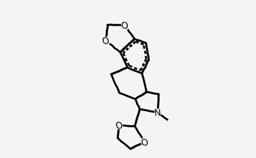 CN1CC2c3ccc4c(c3CCC2C1C1OCCO1)OCO4